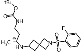 C[C@H](CCNC(=O)OC(C)(C)C)NC1CC2(C1)CN(S(=O)(=O)c1ccccc1F)C2